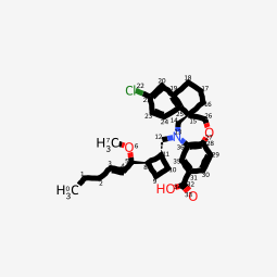 CCC/C=C/C(OC)[C@@H]1CC[C@H]1CN1C[C@@]2(CCCc3cc(Cl)ccc32)COc2ccc(C(=O)O)cc21